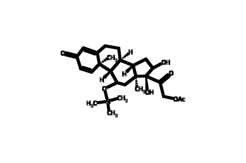 CC(=O)OCC(=O)[C@@]1(O)C(O)C[C@H]2[C@@H]3CCC4=CC(=O)C=C[C@]4(C)[C@H]3C(O[Si](C)(C)C)C[C@@]21C